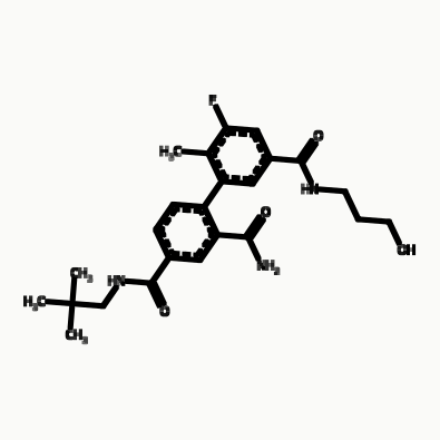 Cc1c(F)cc(C(=O)NCCCO)cc1-c1ccc(C(=O)NCC(C)(C)C)cc1C(N)=O